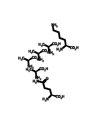 C[C@H](N)C(=O)O.C[C@H](N)C(=O)O.C[C@H](N)C(=O)O.C[C@H](N)C(=O)O.NC(=O)CC[C@H](N)C(=O)O.NCCCC[C@H](N)C(=O)O